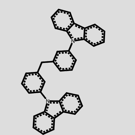 c1cc(Cc2cccc(-n3c4ccccc4c4ccccc43)c2)cc(-n2c3ccccc3c3ccccc32)c1